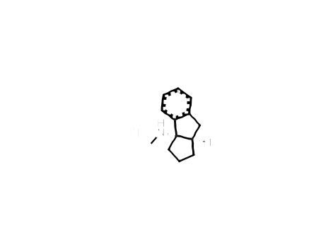 CN[C@@]12CCC[C@@H]1Cc1ccccc12.Cl